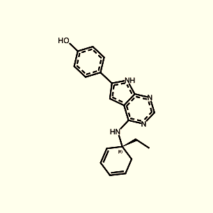 CC[C@]1(Nc2ncnc3[nH]c(-c4ccc(O)cc4)cc23)C=CC=CC1